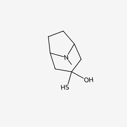 CN1C2CCC1CC(O)(S)C2